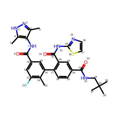 Cc1n[nH]c(C)c1NC(=O)c1cc(F)c(C)c(-c2ccc(C(=O)NCC(C)(C)C)cc2C(=O)Nc2nccs2)c1